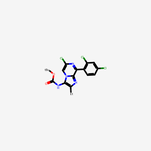 CCc1nc2c(-c3ccc(Cl)cc3Cl)nc(Cl)cn2c1NC(=O)OC(C)(C)C